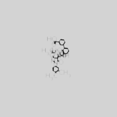 Cc1ccc(N2N=C(OC(C)C)C(=NNc3cccc(-c4cccc(C(=O)O)c4)c3O)C2=O)cc1C